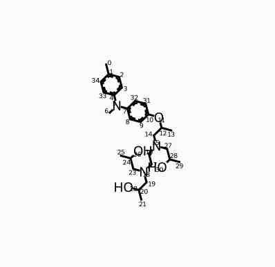 Cc1ccc(N(C)c2ccc(OC(C)CN(CCN(CC(C)O)CC(C)O)CC(C)O)cc2)cc1